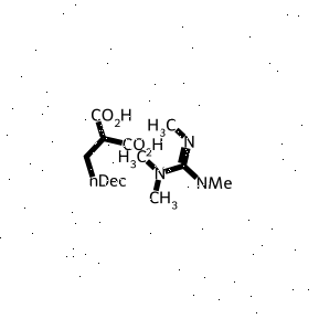 CCCCCCCCCCCC(C(=O)O)C(=O)O.CN=C(NC)N(C)C